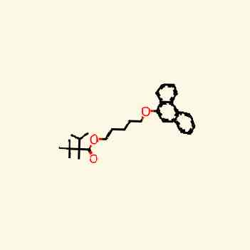 CC(C)C(C)(C(=O)OCCCCCOc1cc2ccccc2c2ccccc12)C(C)(C)C